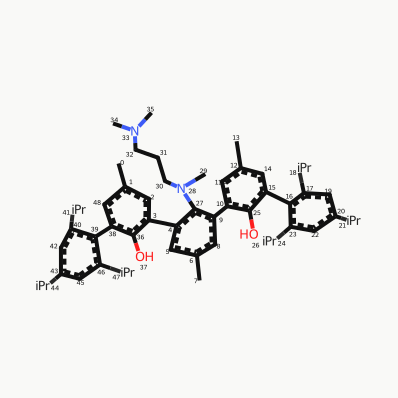 Cc1cc(-c2cc(C)cc(-c3cc(C)cc(-c4c(C(C)C)cc(C(C)C)cc4C(C)C)c3O)c2N(C)CCCN(C)C)c(O)c(-c2c(C(C)C)cc(C(C)C)cc2C(C)C)c1